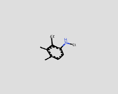 CCNc1ccc(C)c(C)c1CC